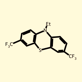 CCN1c2ccc(C(F)(F)F)cc2Sc2cc(C(F)(F)F)ccc21